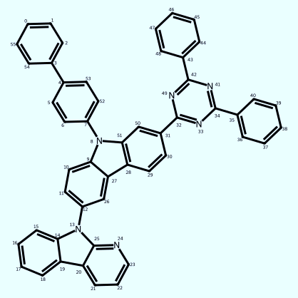 c1ccc(-c2ccc(-n3c4ccc(-n5c6ccccc6c6cccnc65)cc4c4ccc(-c5nc(-c6ccccc6)nc(-c6ccccc6)n5)cc43)cc2)cc1